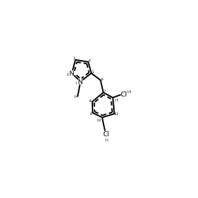 Cn1nccc1Cc1ccc(Cl)cc1Cl